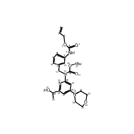 C=CCOC(=O)Nc1cccc(CN(C(=O)OC(C)(C)C)c2cc(N3CCOCC3)cc(C(C)O)n2)c1